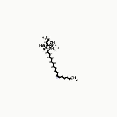 C=CCCC/C=C\CCCCCCCCCCOP(=O)(O)C(CCC)[N+](C)(C)C